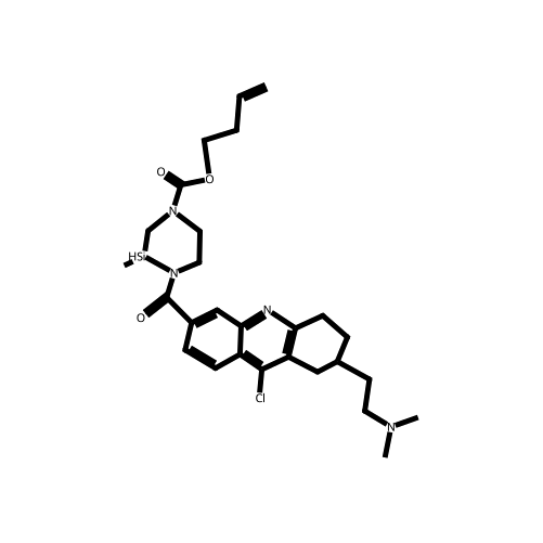 C=CCCOC(=O)N1CCN(C(=O)c2ccc3c(Cl)c4c(nc3c2)CCC(CCN(C)C)C4)[SiH](C)C1